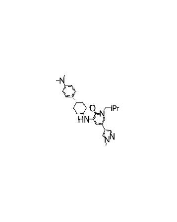 CC(C)Cn1cc(-c2cnn(C)c2)cc(N[C@H]2CC[C@@H](c3ccc(N(C)C)cc3)CC2)c1=O